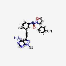 CCn1nc(C#Cc2cc(NC(=O)N3OCC[C@@H]3c3cccc(C#N)c3)ccc2C)c2c(N)ncnc21